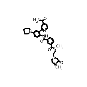 CN1CCN(CCN(C)C(=O)c2cccc(C(=O)Nc3ccc(N4CCCCC4)cc3-c3cc(C(N)=O)ccn3)c2)CC1=O